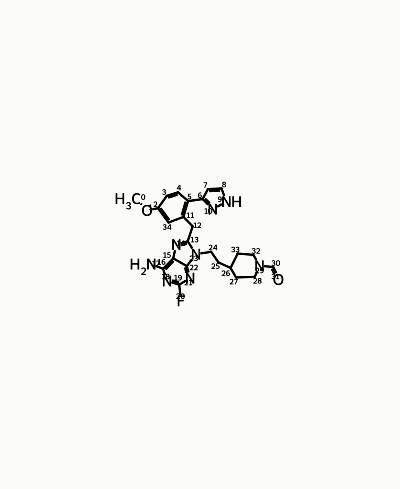 COc1ccc(-c2cc[nH]n2)c(Cc2nc3c(N)nc(F)nc3n2CCC2CCN(C=O)CC2)c1